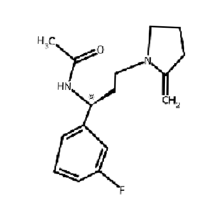 C=C1CCCN1CC[C@H](NC(C)=O)c1cccc(F)c1